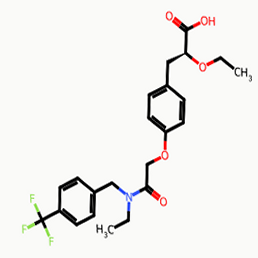 CCO[C@@H](Cc1ccc(OCC(=O)N(CC)Cc2ccc(C(F)(F)F)cc2)cc1)C(=O)O